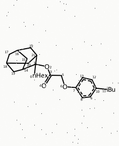 CCCCCCC1(OC(=O)COc2ccc(C(C)CC)cc2)C2CC3CC(C2)CC1C3